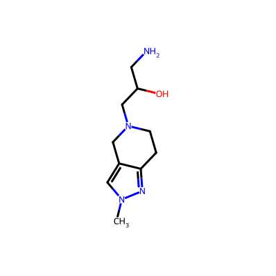 Cn1cc2c(n1)CCN(CC(O)CN)C2